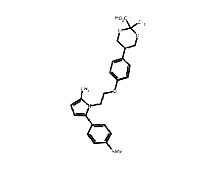 CSc1ccc(-c2ccc(C)n2CCOc2ccc(C3COC(C)(C(=O)O)OC3)cc2)cc1